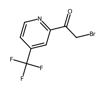 O=C(CBr)c1cc(C(F)(F)F)ccn1